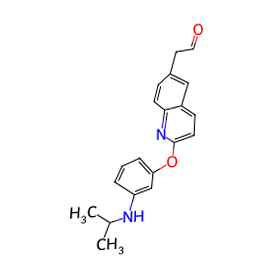 CC(C)Nc1cccc(Oc2ccc3cc(CC=O)ccc3n2)c1